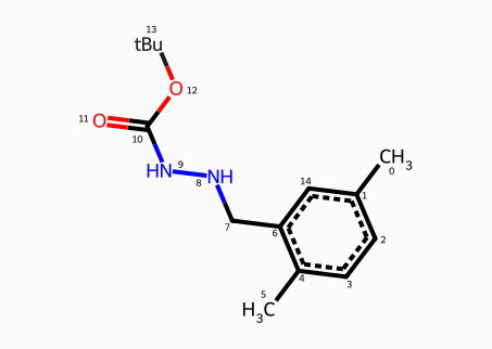 Cc1ccc(C)c(CNNC(=O)OC(C)(C)C)c1